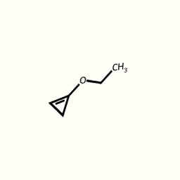 CCOC1=CC1